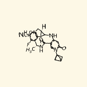 C[C@@H](NC(=O)c1cn(C23CC(C2)C3)c(=O)cc1NC1[C@H]2CN(C)C[C@@H]12)c1cccc(C#N)c1F